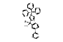 CC(C)C(O)(c1cccc(-c2cccnc2)c1)c1cn(C(c2ccccc2)(c2ccccc2)c2ccccc2)cn1